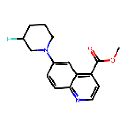 COC(=O)c1ccnc2ccc(N3CCCC(F)C3)cc12